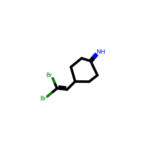 N=C1CCC(C=C(Br)Br)CC1